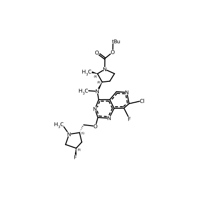 C[C@@H]1[C@H](N(C)c2nc(OC[C@@H]3C[C@@H](F)CN3C)nc3c(F)c(Cl)ncc23)CCN1C(=O)OC(C)(C)C